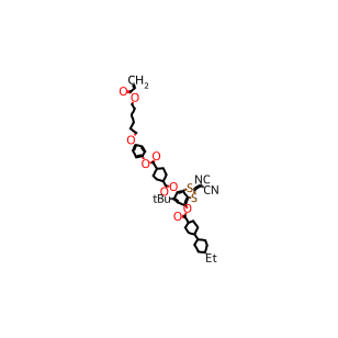 C=CC(=O)OCCCCCCOc1ccc(OC(=O)C2CCC(C(=O)Oc3c(C(C)(C)C)cc(OC(=O)C4CCC(C5CCC(CC)CC5)CC4)c4c3SC(=C(C#N)C#N)S4)CC2)cc1